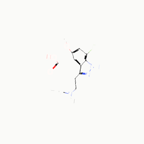 COc1cc(F)c2[nH]nc(CCN(C)C)c2c1.O=CO